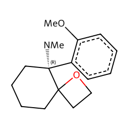 CN[C@@]1(c2ccccc2OC)CCCCC12CCO2